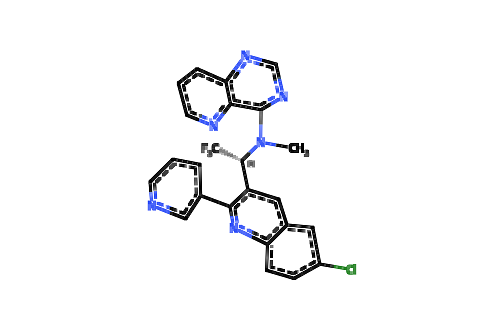 CN(c1ncnc2cccnc12)[C@H](c1cc2cc(Cl)ccc2nc1-c1cccnc1)C(F)(F)F